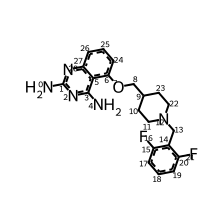 Nc1nc(N)c2c(OCC3CCN(Cc4c(F)cccc4F)CC3)cccc2n1